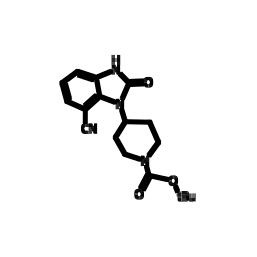 CC(C)(C)OC(=O)N1CCC(n2c(=O)[nH]c3cccc(C#N)c32)CC1